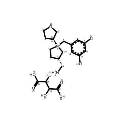 NC[C@@H]1CC[N+](Cc2cc(Cl)cc(Cl)c2)([C@H]2CCOC2)C1.O=C(O)C(O)C(O)C(=O)O